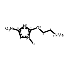 CNCCOc1nc([N+](=O)[O-])cn1C